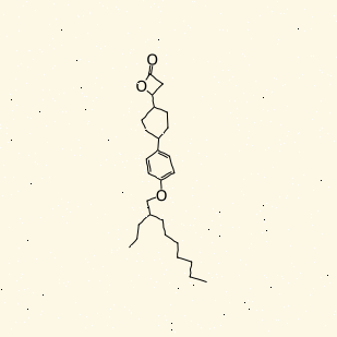 CCCCCCCC(CCC)COc1ccc(C2CCC(C3CC(=O)O3)CC2)cc1